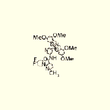 COc1ccc(CN(Cc2ccc(OC)cc2OC)S(=O)(=O)c2cncc(NC(=O)c3ccc(C)nc3N3CCC(F)(F)CC3)c2)c(OC)c1